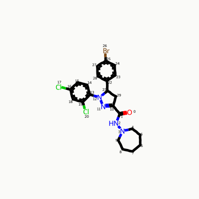 O=C(NN1CCCCCC1)C1=NN(c2ccc(Cl)cc2Cl)C(c2ccc(Br)cc2)C1